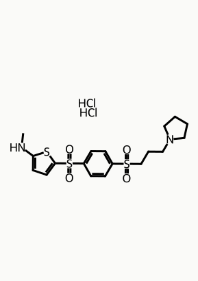 CNc1ccc(S(=O)(=O)c2ccc(S(=O)(=O)CCCN3CCCC3)cc2)s1.Cl.Cl